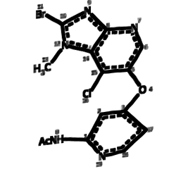 CC(=O)Nc1cc(Oc2cnc3nc(Br)n(C)c3c2Cl)ccn1